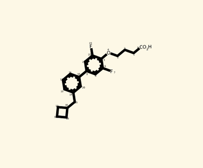 O=C(O)CCCOc1c(F)cc(-c2cccc(CC3CCC3)c2)cc1F